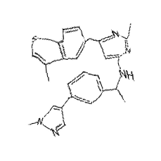 Cc1nc(NC(C)c2cccc(-c3cnn(C)c3)c2)cc(-c2ccc3scc(C)c3c2)n1